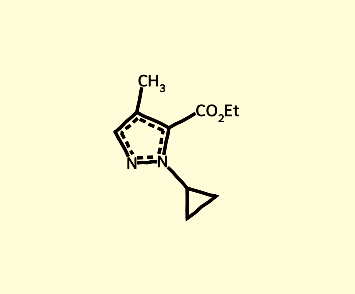 CCOC(=O)c1c(C)cnn1C1CC1